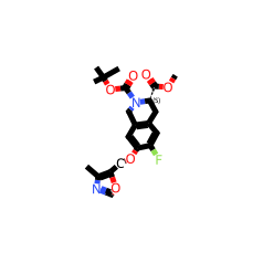 COC(=O)[C@@H]1Cc2cc(F)c(OCc3ocnc3C)cc2CN1C(=O)OC(C)(C)C